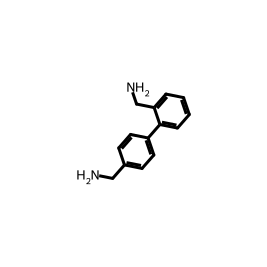 NCc1ccc(-c2ccccc2CN)cc1